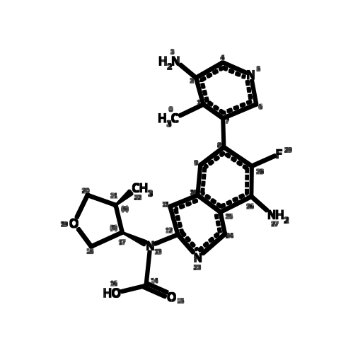 Cc1c(N)cncc1-c1cc2cc(N(C(=O)O)[C@H]3COC[C@H]3C)ncc2c(N)c1F